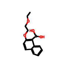 CCOCCOc1ccc2ccccc2c1B(O)O